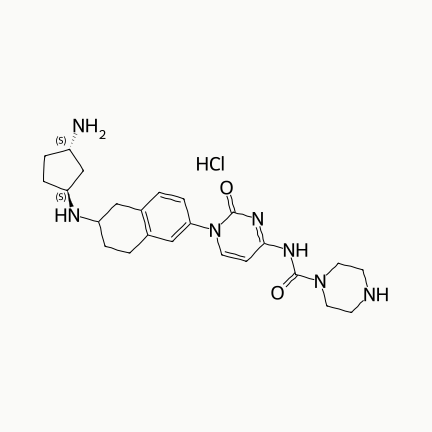 Cl.N[C@H]1CC[C@H](NC2CCc3cc(-n4ccc(NC(=O)N5CCNCC5)nc4=O)ccc3C2)C1